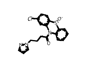 O=C(CCCn1cccn1)N1c2ccccc2[S+]([O-])c2ccc(Cl)cc21